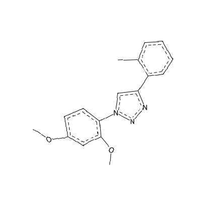 COc1ccc(-n2cc(-c3ccccc3C)nn2)c(OC)c1